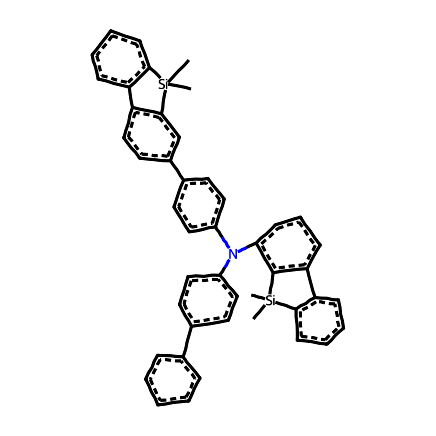 C[Si]1(C)c2ccccc2-c2ccc(-c3ccc(N(c4ccc(-c5ccccc5)cc4)c4cccc5c4[Si](C)(C)c4ccccc4-5)cc3)cc21